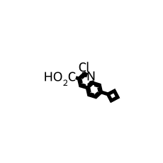 O=C(O)c1cc2ccc(C3CCC3)cc2nc1Cl